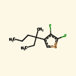 CCCC(C)(CC)c1csc(F)c1F